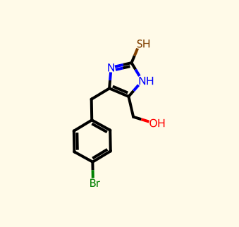 OCc1[nH]c(S)nc1Cc1ccc(Br)cc1